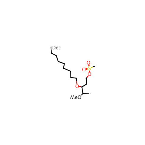 [CH2]C(OC)C(CCOS(C)(=O)=O)OCCCCCCCCCCCCCCCCCC